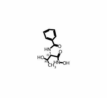 C[C@@H](O)[C@H](NC(=O)c1ccccc1)C(=O)NO